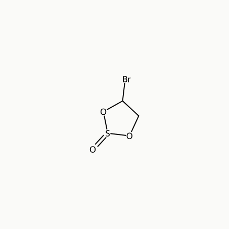 O=S1OCC(Br)O1